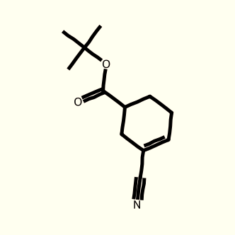 CC(C)(C)OC(=O)C1CCC=C(C#N)C1